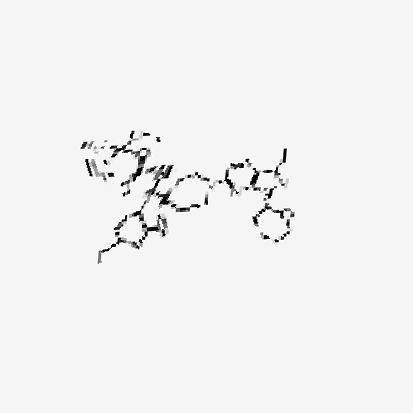 CC(C)(C)OC(=O)N[C@@H]1c2ccc(F)cc2OC12CCN(c1cnc3c(I)nn(C4CCCCO4)c3n1)CC2